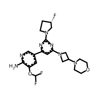 Nc1ncc(-c2cc(N3CC(N4CCOCC4)C3)nc(N3CC[C@H](F)C3)n2)cc1OC(F)F